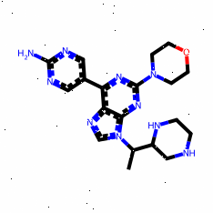 CC(C1CNCCN1)n1cnc2c(-c3cnc(N)nc3)nc(N3CCOCC3)nc21